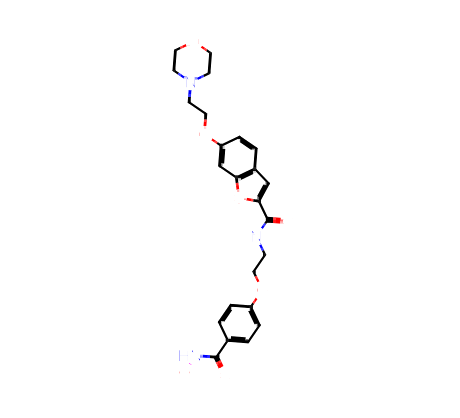 O=C(NO)c1ccc(OCCNC(=O)c2cc3ccc(OCCN4CCOCC4)cc3o2)cc1